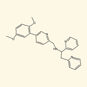 COc1ccc(OC)c(-c2ccc(CNC(Cc3ccccn3)c3ccccn3)nc2)c1